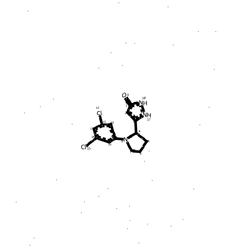 O=c1cc(C2CCCN2c2cc(Cl)cc(Cl)c2)[nH][nH]1